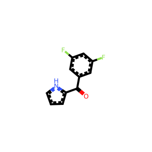 O=C(c1cc(F)cc(F)c1)c1ccc[nH]1